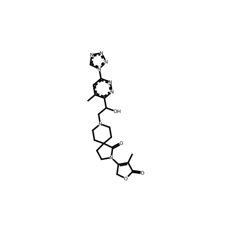 CC1=C(N2CCC3(CCN(CC(O)c4nnc(-n5cnnn5)cc4C)CC3)C2=O)COC1=O